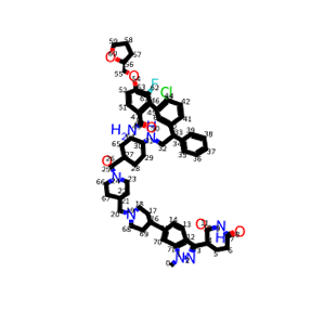 Cn1nc(C2CCC(=O)NC2=O)c2ccc(C3CCN(CC4CCN(C(=O)C5CCC(NCC(c6ccccc6)c6ccc(Cl)c(-c7c(C(N)=O)ccc(OC[C@@H]8CCCO8)c7F)c6)CC5)CC4)CC3)cc21